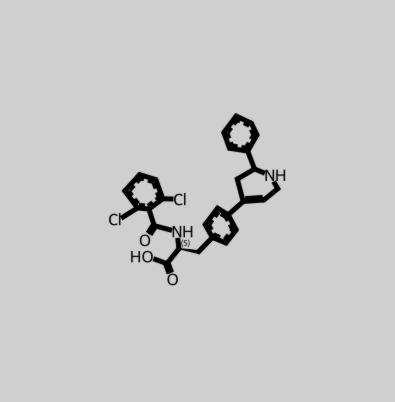 O=C(N[C@@H](Cc1ccc(C2=CCNC(c3ccccc3)C2)cc1)C(=O)O)c1c(Cl)cccc1Cl